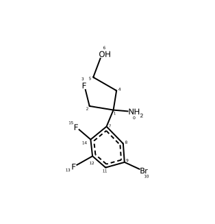 NC(CF)(CCO)c1cc(Br)cc(F)c1F